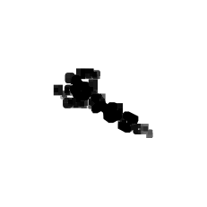 CNC(=O)c1cc(Nc2nc(-c3ccc(N4CCN(C)CC4)nc3)cs2)c(OC)cc1C